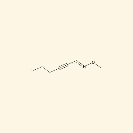 [CH2]CCC#CC=NOC